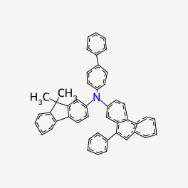 CC1(C)c2ccccc2-c2ccc(N(c3ccc(-c4ccccc4)cc3)c3ccc4c(c3)c(-c3ccccc3)cc3ccccc34)cc21